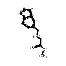 COC(=O)CNCc1ccc2[nH]ccc2c1